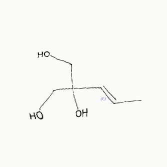 C/C=C/C(O)(CO)CO